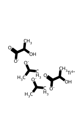 CC(C)[O-].CC(C)[O-].CC(O)C(=O)[O-].CC(O)C(=O)[O-].[Ti+4]